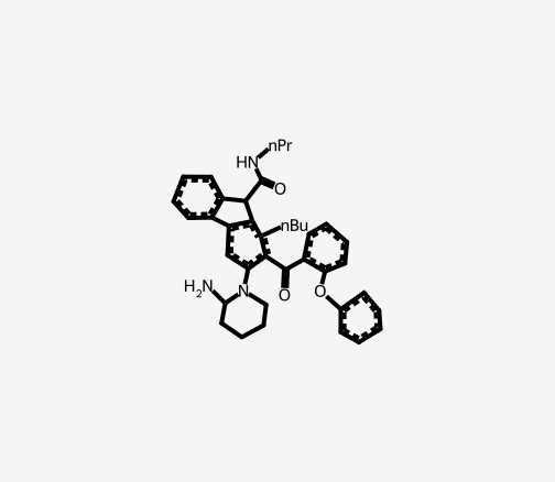 CCCCc1c(C(=O)c2ccccc2Oc2ccccc2)c(N2CCCCC2N)cc2c1C(C(=O)NCCC)c1ccccc1-2